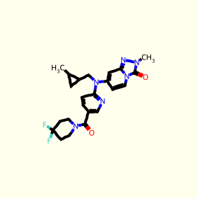 CC1CC1CN(c1ccn2c(=O)n(C)nc2c1)c1ccc(C(=O)N2CCC(F)(F)CC2)cn1